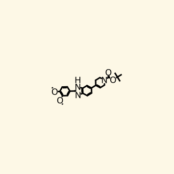 COc1ccc(-c2nc3ccc(C4=CCN(C(=O)OC(C)(C)C)CC4)cc3[nH]2)cc1OC